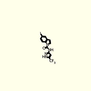 O=C(Nc1cc(C(F)(F)F)[nH]n1)n1ccc2cc(I)ccc21